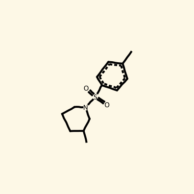 Cc1ccc(S(=O)(=O)N2CCCC(C)C2)cc1